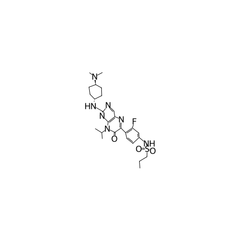 CCCS(=O)(=O)Nc1ccc(-c2nc3cnc(N[C@H]4CC[C@H](N(C)C)CC4)nc3n(C(C)C)c2=O)c(F)c1